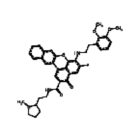 COc1cccc(CCNc2c(F)cc3c(=O)c(C(=O)NCCC4CCCN4C)cn4c3c2Oc2cc3ccccc3cc2-4)c1OC